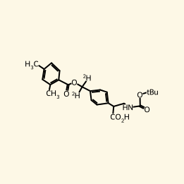 [2H]C([2H])(OC(=O)c1ccc(C)cc1C)c1ccc(C(CNC(=O)OC(C)(C)C)C(=O)O)cc1